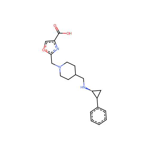 O=C(O)c1coc(CN2CCC(CN[C@H]3CC3c3ccccc3)CC2)n1